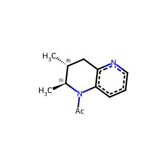 CC(=O)N1c2cccnc2C[C@@H](C)[C@@H]1C